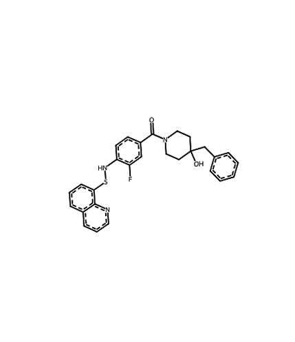 O=C(c1ccc(NSc2cccc3cccnc23)c(F)c1)N1CCC(O)(Cc2ccccc2)CC1